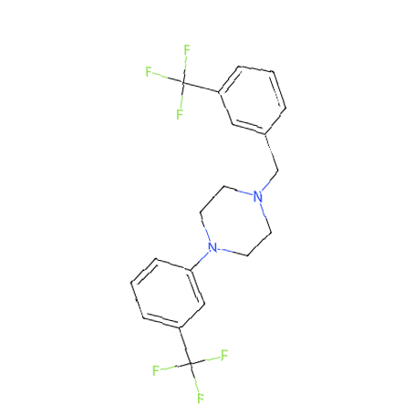 FC(F)(F)c1cccc(CN2CCN(c3cccc(C(F)(F)F)c3)CC2)c1